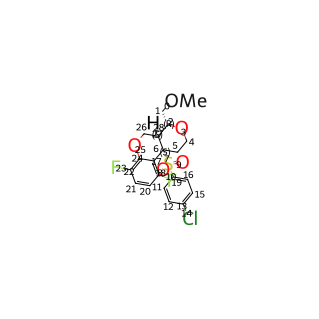 COC[C@@H]1OCC[C@@]2(S(=O)(=O)c3ccc(Cl)cc3)c3c(F)ccc(F)c3OC[C@@H]12